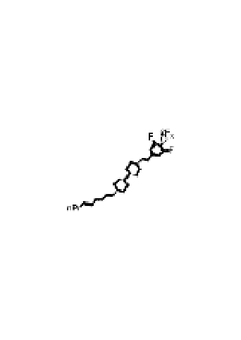 CCC/C=C/CCCC[C@H]1CC[C@H]([C@H]2CC[C@H](CCc3cc(F)c(OC(F)(F)F)c(F)c3)CC2)CC1